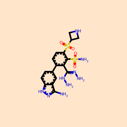 N/N=C(\NN)c1c(-c2ccc3[nH]nc(N)c3c2)ccc(S(=O)(=O)C2CNC2)c1S(N)(=O)=O